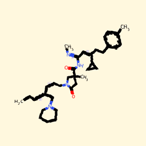 C=C/C=C(\C=C/CN1CC(C)(C(=O)NC(/C=C(/CCc2ccc(C)cc2)C2CC2)=N/C)CC1=O)CN1CCCCC1